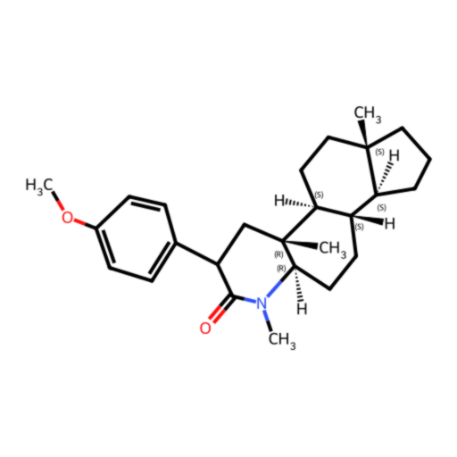 COc1ccc(C2C[C@]3(C)[C@H]4CC[C@]5(C)CCC[C@H]5[C@@H]4CC[C@H]3N(C)C2=O)cc1